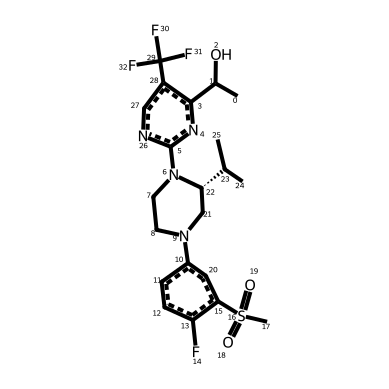 CC(O)c1nc(N2CCN(c3ccc(F)c(S(C)(=O)=O)c3)C[C@H]2C(C)C)ncc1C(F)(F)F